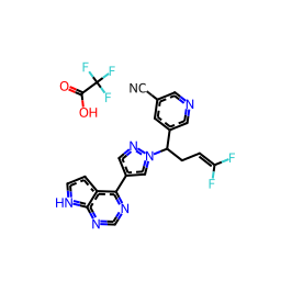 N#Cc1cncc(C(CC=C(F)F)n2cc(-c3ncnc4[nH]ccc34)cn2)c1.O=C(O)C(F)(F)F